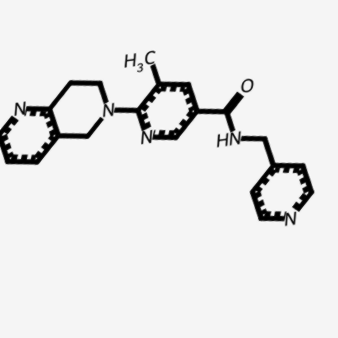 Cc1cc(C(=O)NCc2ccncc2)cnc1N1CCc2ncccc2C1